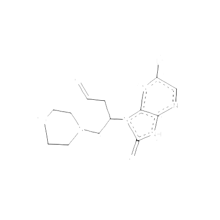 O=CCC(CN1CCOCC1)n1c(=O)[nH]c2ncc(Br)nc21